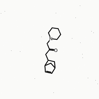 O=C(CC1CC2C=CC1C2)CN1CCCCC1